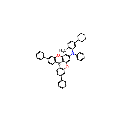 Cc1ccc(C2CCCCC2)cc1N(c1ccccc1)c1cc2c3c(c1)Oc1cc(-c4ccccc4)ccc1B3c1ccc(-c3ccccc3)cc1O2